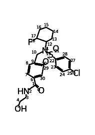 O=C(NCCO)c1ccc(CN(C2CCCCC2F)S(=O)(=O)c2ccc(Cl)cc2)cc1